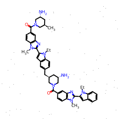 CCn1c(-c2nc3cc(C(=O)N4C[C@@H](N)C[C@H](Cc5ccc6c(c5)cc(-c5nc7cc(C(=O)N8C[C@H](C)C[C@@H](N)C8)ccc7n5C)n6CC)C4)ccc3n2C)cc2ccccc21